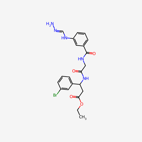 CCOC(=O)CC(NC(=O)CNC(=O)c1cccc(NC=NN)c1)c1cccc(Br)c1